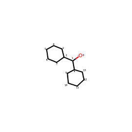 [O]C(C1CCCCC1)C1CCCCC1